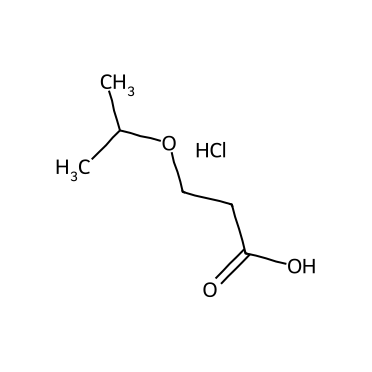 CC(C)OCCC(=O)O.Cl